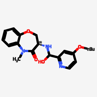 CCCCOc1ccnc(C(O)N[C@H]2COc3ccccc3N(C)C2=O)c1